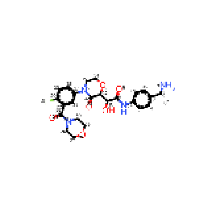 C[C@@H](N)c1ccc(NC(=O)C(O)C2OCCN(c3ccc(F)c(C(=O)N4CCOCC4)c3)C2=O)cc1